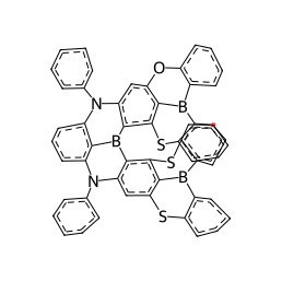 c1ccc(N2c3cccc4c3B(c3c2cc2c5c3Sc3ccccc3B5c3ccccc3O2)c2c(cc3c5c2Sc2ccccc2B5c2ccccc2S3)N4c2ccccc2)cc1